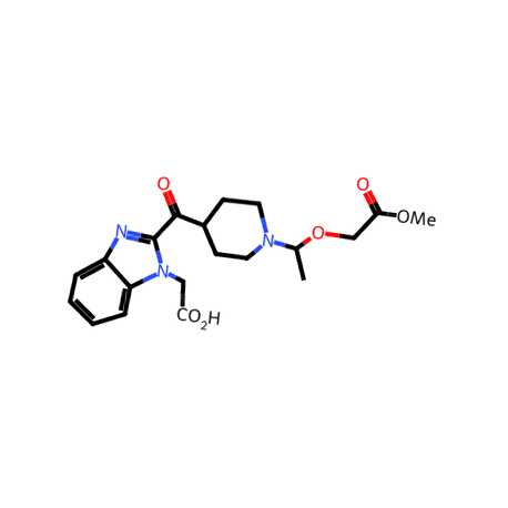 COC(=O)COC(C)N1CCC(C(=O)c2nc3ccccc3n2CC(=O)O)CC1